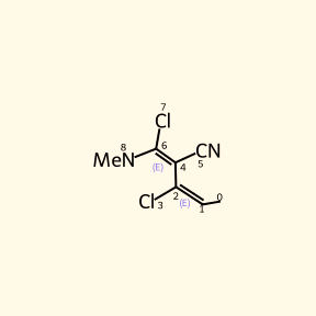 C/C=C(Cl)\C(C#N)=C(\Cl)NC